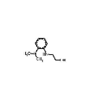 CN(C)c1ccccc1NCCO